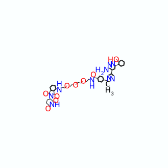 CC(c1ccc(C(=O)NCCOCCOCCOCCNc2cccc3c2C(=O)N(C2CCC(=O)NC2=O)C3=O)cc1)n1cc(-c2cc(-c3ccccc3O)nnc2N)cn1